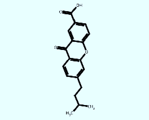 CC(C)CCc1ccc2c(=O)c3cc(C(=O)O)ccc3oc2c1